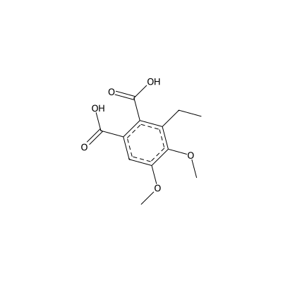 CCc1c(OC)c(OC)cc(C(=O)O)c1C(=O)O